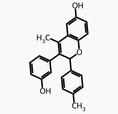 CC1=C(c2cccc(O)c2)C(c2ccc(C)cc2)Oc2ccc(O)cc21